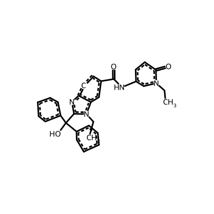 CCn1cc(NC(=O)c2ccc3nc(C(O)(c4ccccc4)c4ccccc4)n(CC)c3c2)ccc1=O